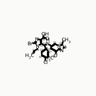 C=CCn1c(Br)nc(C(=O)O)c1C(Nc1cc(OC)c2nnc(C)n2c1)c1ccc(Cl)cc1